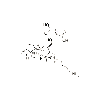 C[C@]12CC[C@@H](CCCCN)CC1/C(=N/O)C[C@@H]1[C@@H]2CC[C@]2(C)C(=O)CC[C@@H]12.O=C(O)/C=C/C(=O)O